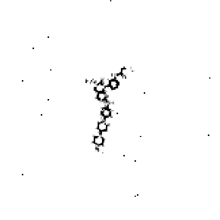 C=CC(=O)Nc1cccc(N2C(=O)N(C)Cc3cnc(Nc4ccc(N5CCC(N6CCN(C)CC6)CC5)cc4)nc32)c1